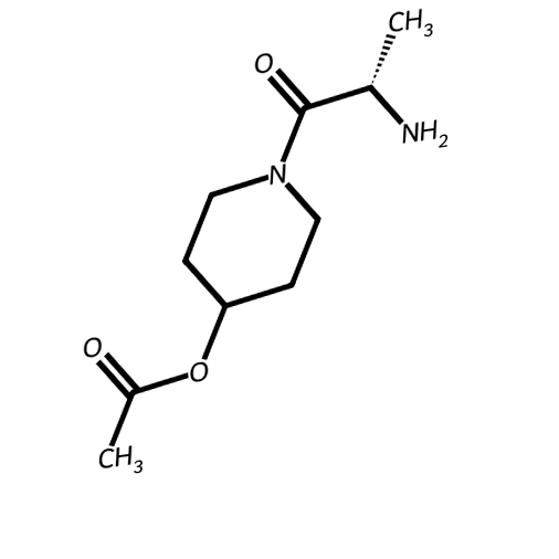 CC(=O)OC1CCN(C(=O)[C@H](C)N)CC1